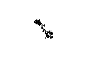 Cn1c(=O)n(N2C(=O)CCCC2=O)c2ccc(NCCCN3CCN(c4cccc(-c5cnc6ccc(N7CCC[C@@H]7c7cccc(F)c7)nn56)n4)CC3)cc21